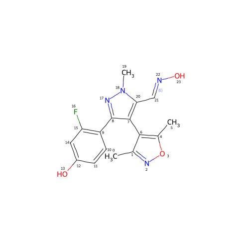 Cc1noc(C)c1-c1c(-c2ccc(O)cc2F)nn(C)c1/C=N/O